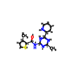 Cc1nc(NC(=O)c2sccc2C)nc(-c2ccccn2)n1